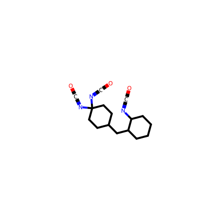 O=C=NC1CCCCC1CC1CCC(N=C=O)(N=C=O)CC1